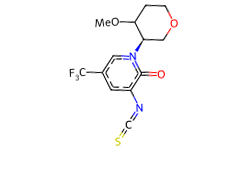 COC1CCOC[C@H]1n1cc(C(F)(F)F)cc(N=C=S)c1=O